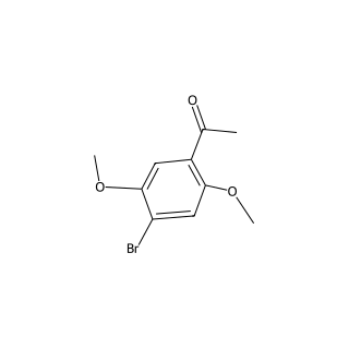 COc1cc(C(C)=O)c(OC)cc1Br